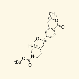 C[C@@H]1Cc2cc([C@@H]3CN4CCN(C(=O)OC(C)(C)C)C[C@@H]4CO3)ccc2C(=O)O1